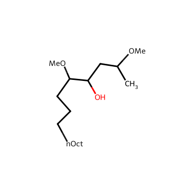 CCCCCCCCCCCC(OC)C(O)CC(C)OC